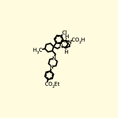 CCOC(=O)c1ccc(N2CCN(CC3CC(C)CCC3(CN3C[C@@H]4C[C@H]3CN4C(=O)O)c3ccc(Cl)cc3)CC2)cc1